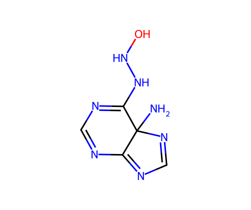 NC12N=CN=C1N=CN=C2NNO